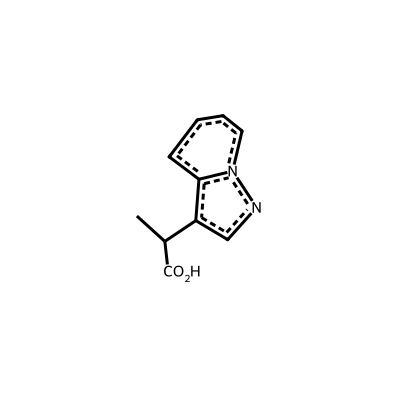 CC(C(=O)O)c1cnn2ccccc12